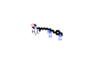 C=C\C(=C/C=C/C=C/c1cc(/C=C/c2ccc3cc[nH]c3c2)[nH]n1)CCN1CCOCC1